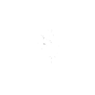 CN(C)CC1[C@@H](C(C)(C)C)N(C(C)(C)C)C2CC12C